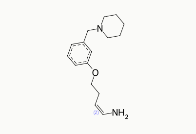 N/C=C\CCOc1cccc(CN2CCCCC2)c1